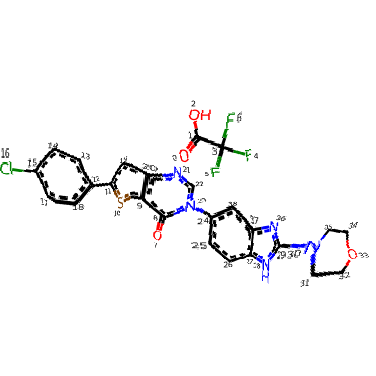 O=C(O)C(F)(F)F.O=c1c2sc(-c3ccc(Cl)cc3)cc2ncn1-c1ccc2[nH]c(N3CCOCC3)nc2c1